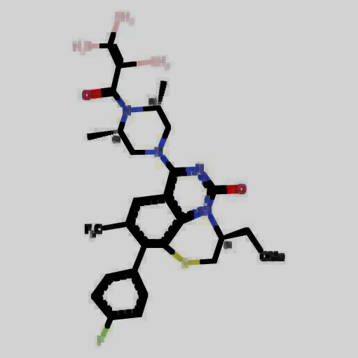 BC(B)=C(B)C(=O)N1[C@H](C)CN(c2nc(=O)n3c4c(c(-c5ccc(F)cc5)c(C(F)(F)F)cc24)SC[C@@H]3COC)C[C@@H]1C